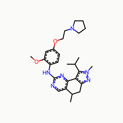 COc1cc(OCCN2CCCC2)ccc1Nc1ncc2c(n1)-c1c(nn(C)c1C(C)C)CC2C